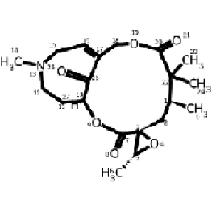 C[C@H]1C[C@]2(O[C@@H]2C)C(=O)O[C@@H]2CCN(C)C/C=C(/COC(=O)C1(C)C)C2=O